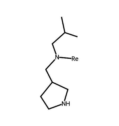 CC(C)C[N]([Re])CC1CCNC1